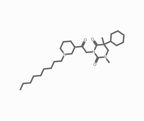 CCCCCCCCCN1CCCC(C(=O)CN2C(=O)N(C)CC(C)(C3CCCCC3)C2=O)C1